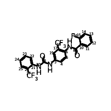 O=C(Nc1ccc(NC(=O)c2ccccc2F)c(C(F)(F)F)c1)Nc1ccccc1C(F)(F)F